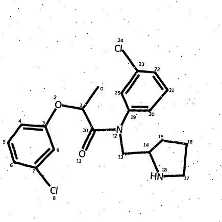 CC(Oc1cccc(Cl)c1)C(=O)N(CC1CCCN1)c1cccc(Cl)c1